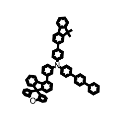 CC1(C)c2ccccc2-c2ccc(-c3ccc(N(c4ccc(-c5ccc(-c6ccccc6)cc5)cc4)c4cccc(-c5cccc6c5-c5ccccc5C65c6ccccc6Oc6ccccc65)c4)cc3)cc21